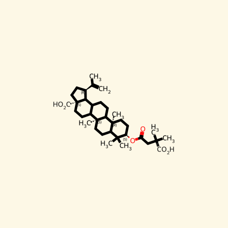 C=C(C)[C@@H]1CC[C@]2(C(=O)O)CCC3C(CCC4[C@@]3(C)CCC3C(C)(C)[C@@H](OC(=O)CC(C)(C)C(=O)O)CC[C@@]34C)C12